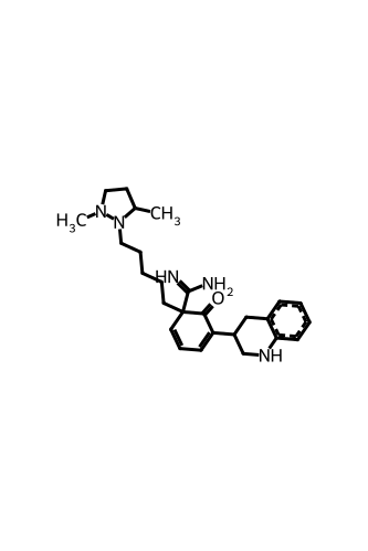 CC1CCN(C)N1CCCCCC1(C(=N)N)C=CC=C(C2CNc3ccccc3C2)C1=O